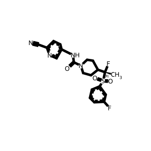 C[C@](F)(C1CCN(C(=O)Nc2ccc(C#N)nc2)CC1)S(=O)(=O)c1cccc(F)c1